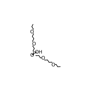 CCCOCCCCOCCCP(=O)(O)CCCOCCCCOCCC